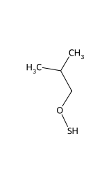 CC(C)COS